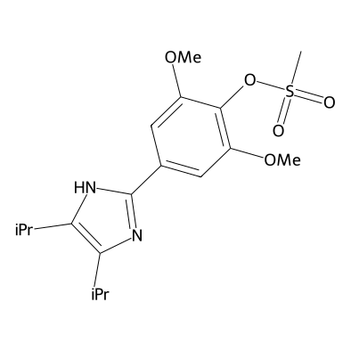 COc1cc(-c2nc(C(C)C)c(C(C)C)[nH]2)cc(OC)c1OS(C)(=O)=O